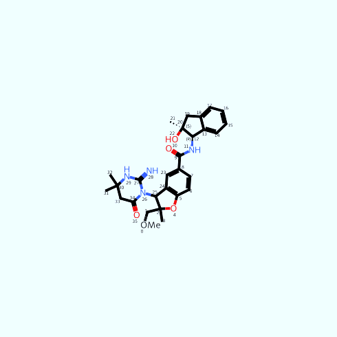 COCC1(C)Oc2ccc(C(=O)N[C@@H]3c4ccccc4C[C@]3(C)O)cc2C1N1C(=N)NC(C)(C)CC1=O